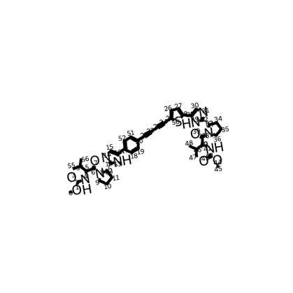 COC(=O)NC(C(=O)N1CCC[C@H]1c1ncc(-c2ccc(C#CC#Cc3ccc(-c4cnc([C@@H]5CCCN5C(=O)[C@@H](NC(=O)OC)C(C)C)[nH]4)s3)cc2)[nH]1)C(C)C